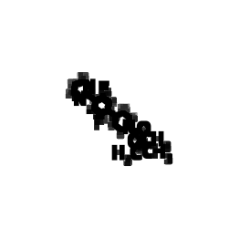 CC(C)(C)OC(=O)N1CC=C(c2cc(F)c(-c3ncccn3)cc2F)CC1